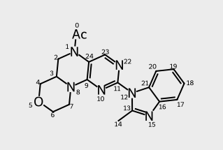 CC(=O)N1CC2COCCN2c2nc(-n3c(C)nc4ccccc43)ncc21